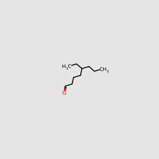 CCCC(CC)CCCC=O